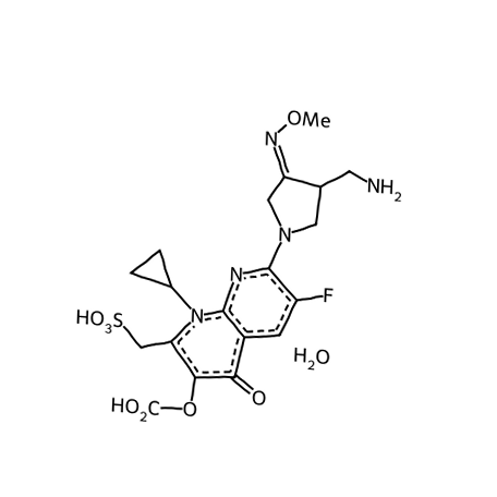 CON=C1CN(c2nc3c(cc2F)c(=O)c(OC(=O)O)c(CS(=O)(=O)O)n3C2CC2)CC1CN.O